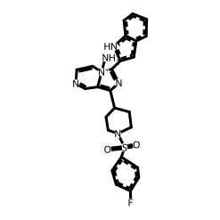 N[N+]12C=CN=CC1=C(C1CCN(S(=O)(=O)c3ccc(F)cc3)CC1)N=C2c1cc2ccccc2[nH]1